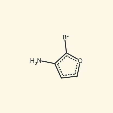 Nc1ccoc1Br